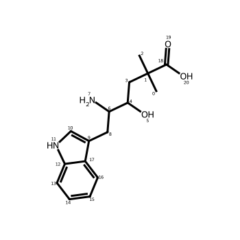 CC(C)(CC(O)C(N)Cc1c[nH]c2ccccc12)C(=O)O